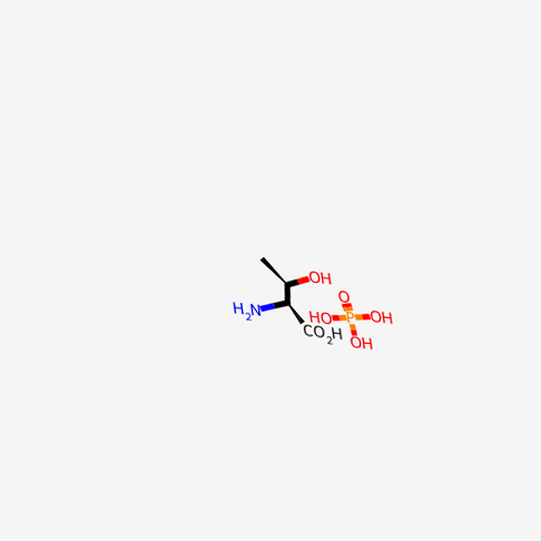 C[C@@H](O)[C@H](N)C(=O)O.O=P(O)(O)O